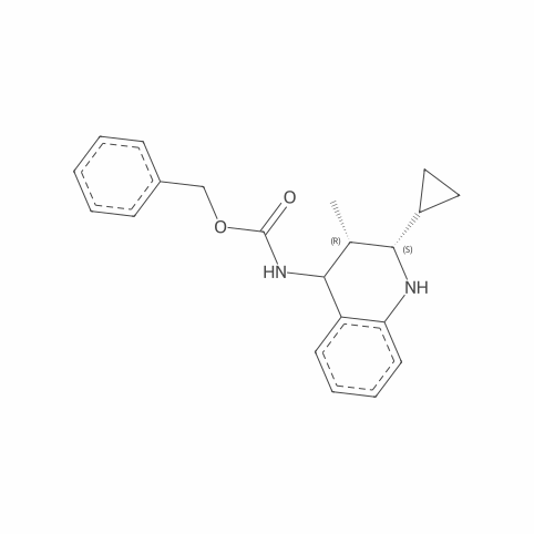 C[C@H]1C(NC(=O)OCc2ccccc2)c2ccccc2N[C@H]1C1CC1